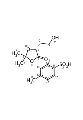 CC1(C)OC(=O)[C@@H](CCO)O1.Cc1ccc(S(=O)(=O)O)cc1